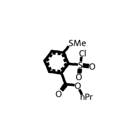 CCCOC(=O)c1cccc(SC)c1S(=O)(=O)Cl